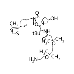 Cc1ncsc1-c1ccc(CNC(=O)[C@@H]2C[C@@H](O)CN2C(=O)[C@@H](NC(=O)CC(C)(C)OCCC(C)(C)OCCN)C(C)(C)C)cc1